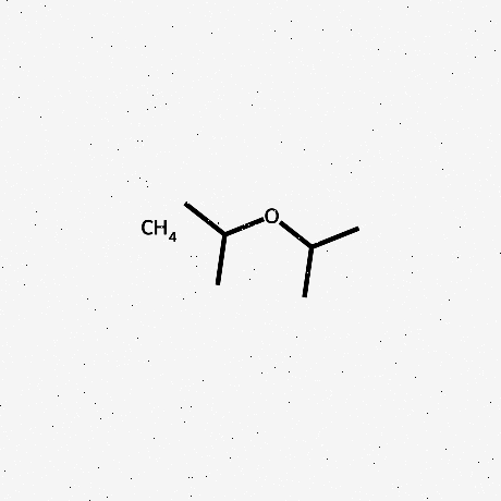 C.CC(C)OC(C)C